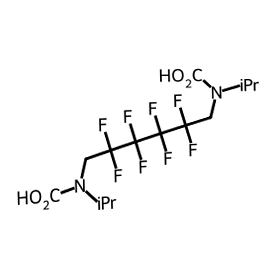 CC(C)N(CC(F)(F)C(F)(F)C(F)(F)C(F)(F)CN(C(=O)O)C(C)C)C(=O)O